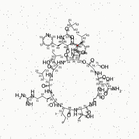 CC[C@H](C)C1NC(=O)[C@@H](CCCNC(=N)N)NC(=O)[C@H](CC(C)C)NC(=O)[C@H]([C@H](O)C(C)C)NC(=O)[C@@H](NC(=O)[C@H](CC(C)C)NC(=O)[C@@H](Cc2cccnc2)NC(=O)OC(C)(C)C)[C@@H](c2ccccc2)OC(=O)[C@H](CO)NC(=O)[C@H]([C@H](O)C(N)=O)NC(=O)CNC(=O)C([C@H](C)O)NC1=O